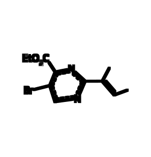 C/C=C(\C)c1ncc(Br)c(C(=O)OCC)n1